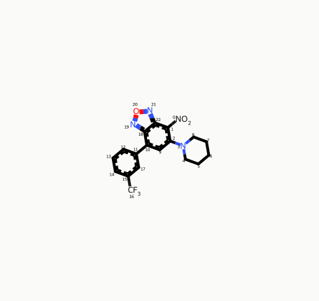 O=[N+]([O-])c1c(N2CCCCC2)cc(-c2cccc(C(F)(F)F)c2)c2nonc12